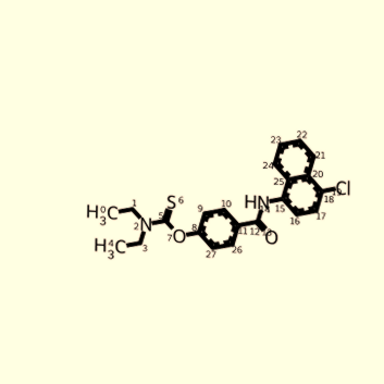 CCN(CC)C(=S)Oc1ccc(C(=O)Nc2ccc(Cl)c3ccccc23)cc1